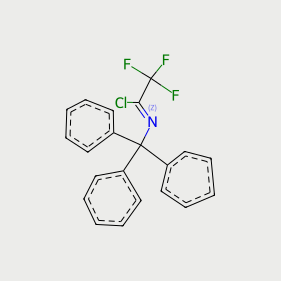 FC(F)(F)/C(Cl)=N/C(c1ccccc1)(c1ccccc1)c1ccccc1